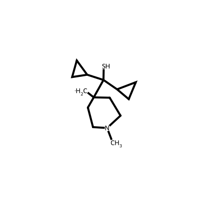 [CH2]C1(C(S)(C2CC2)C2CC2)CCN(C)CC1